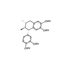 COc1ccc([C@H]2c3cc(OC)c(OC)cc3C[C@@H](C)[C@@H]2C)cc1OC